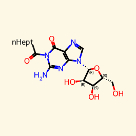 CCCCCCCC(=O)n1c(N)nc2c(ncn2[C@@H]2O[C@H](CO)[C@@H](O)[C@H]2O)c1=O